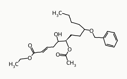 CCCCC(CC[C@@H](OC(C)=O)C(O)C/C=C/C(=O)OCC)OCc1ccccc1